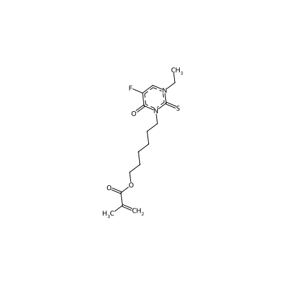 C=C(C)C(=O)OCCCCCCn1c(=O)c(F)cn(CC)c1=S